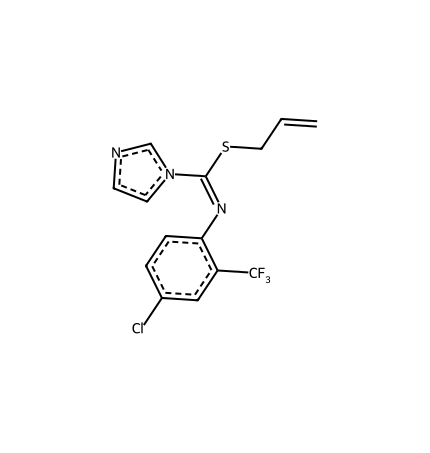 C=CCS/C(=N/c1ccc(Cl)cc1C(F)(F)F)n1ccnc1